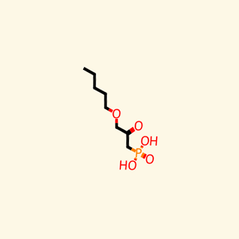 CCCCCOCC(=O)CP(=O)(O)O